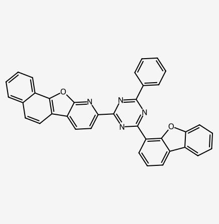 c1ccc(-c2nc(-c3ccc4c(n3)oc3c5ccccc5ccc43)nc(-c3cccc4c3oc3ccccc34)n2)cc1